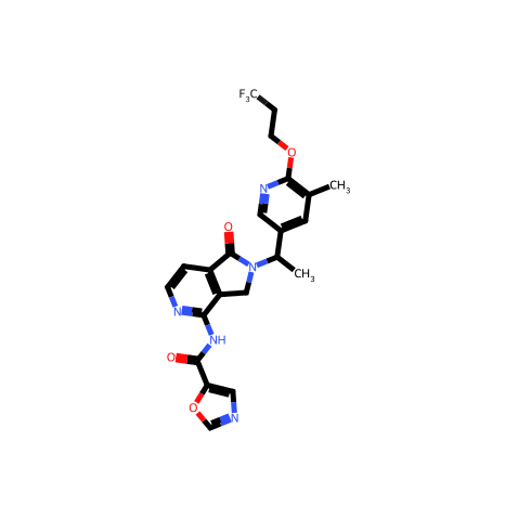 Cc1cc(C(C)N2Cc3c(ccnc3NC(=O)c3cnco3)C2=O)cnc1OCCC(F)(F)F